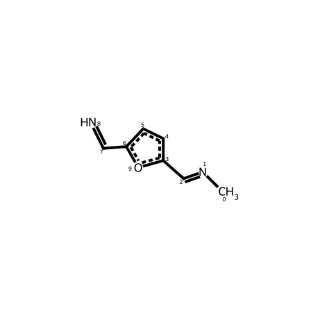 C/N=C/c1ccc(C=N)o1